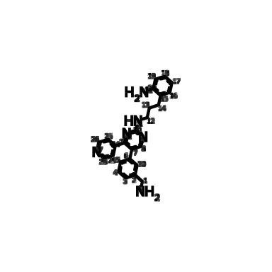 NCc1cccc(-c2cnc(NCCCc3ccccc3N)nc2-c2ccncc2)c1